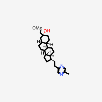 COC[C@@]1(O)CC[C@H]2[C@H](CC[C@@H]3[C@@H]2CC[C@]2(C)[C@@H](CCc4cnc(C)cn4)CC[C@@H]32)C1